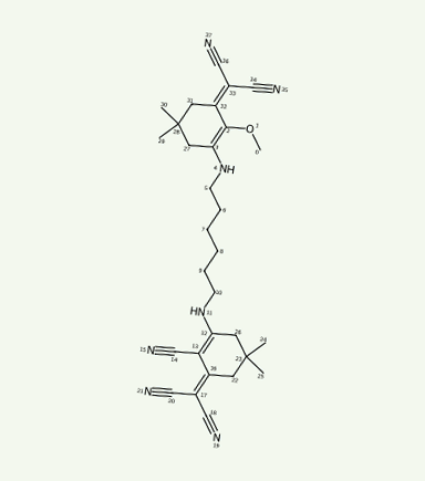 COC1=C(NCCCCCCNC2=C(C#N)C(=C(C#N)C#N)CC(C)(C)C2)CC(C)(C)CC1=C(C#N)C#N